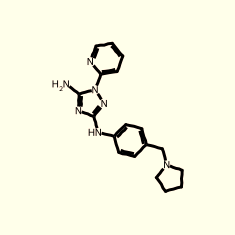 Nc1nc(Nc2ccc(CN3CCCC3)cc2)nn1-c1ccccn1